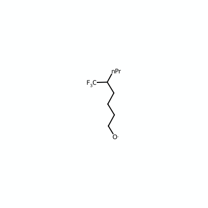 CCCC(CCCC[O])C(F)(F)F